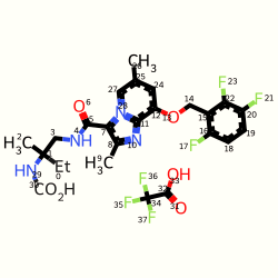 CCC(C)(CNC(=O)c1c(C)nc2c(OCc3c(F)ccc(F)c3F)cc(C)cn12)NC(=O)O.O=C(O)C(F)(F)F